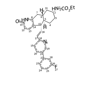 CCOC(=O)N[C@@H]1CC[C@@H]2[C@H](Cc3[nH]c(=O)ccc3[C@H]2/C=C/c2ccc(-c3cccc(F)c3)cn2)C1